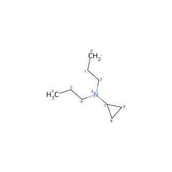 [CH2]CCN(CCC)C1CC1